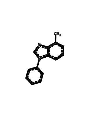 Cc1cccc2c1ncn2-c1ccccc1